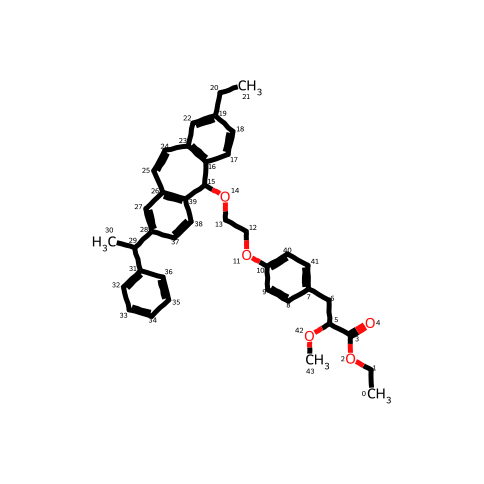 CCOC(=O)C(Cc1ccc(OCCOC2c3ccc(CC)cc3C=Cc3cc(C(C)c4ccccc4)ccc32)cc1)OC